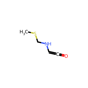 CSCNC=C=O